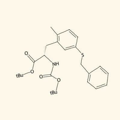 Cc1ccc(SCc2ccccc2)cc1C[C@H](NC(=O)OC(C)(C)C)C(=O)OC(C)(C)C